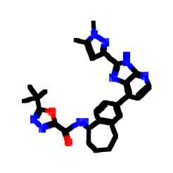 Cc1cc(-c2nc3c(-c4ccc5c(c4)CCCCC5NC(=O)c4nnc(C(C)(C)C)o4)ccnc3[nH]2)nn1C